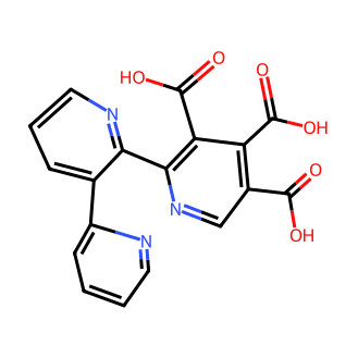 O=C(O)c1cnc(-c2ncccc2-c2ccccn2)c(C(=O)O)c1C(=O)O